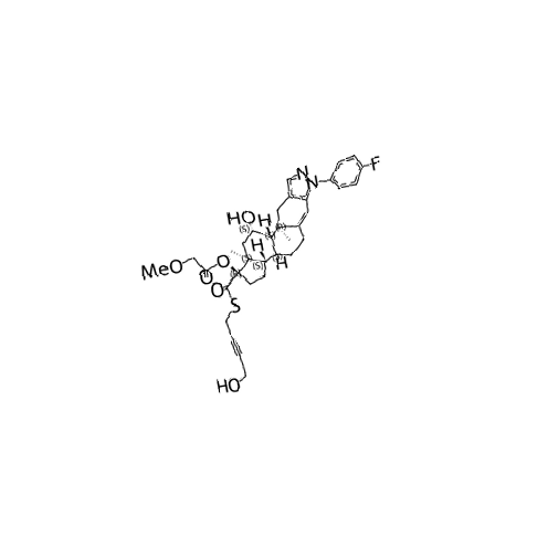 COCC(=O)O[C@]1(C(=O)SCC#CCO)CC[C@H]2[C@@H]3CCC4=Cc5c(cnn5-c5ccc(F)cc5)C[C@]4(C)[C@H]3[C@@H](O)C[C@@]21C